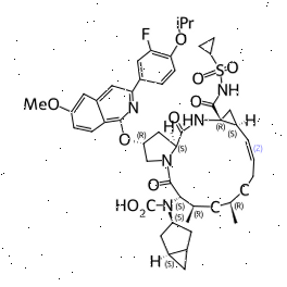 COc1ccc2c(O[C@@H]3C[C@H]4C(=O)N[C@]5(C(=O)NS(=O)(=O)C6CC6)C[C@H]5/C=C\CC[C@@H](C)C[C@@H](C)[C@H](N(C(=O)O)[C@H]5CC6C[C@H]6C5)C(=O)N4C3)nc(-c3ccc(OC(C)C)c(F)c3)cc2c1